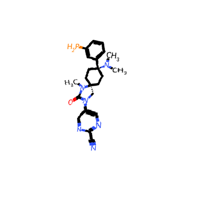 CN1C(=O)N(c2cnc(C#N)nc2)C[C@]12CC[C@](c1cccc(P)c1)(N(C)C)CC2